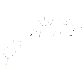 C[C@H]1CC[C@@H]2C3CC[C@@]4(C)C(CC[C@@H]4C(=O)Cn4cc5ccc(F)cc5n4)[C@@H]3CC[C@@H]2C1